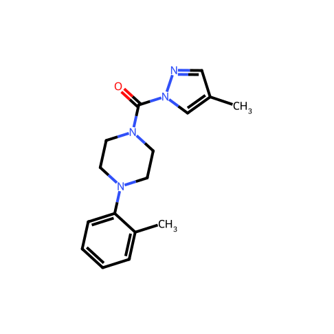 Cc1cnn(C(=O)N2CCN(c3ccccc3C)CC2)c1